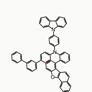 c1ccc(-c2cccc(-c3ccc(N(c4ccc(-n5c6ccccc6c6ccccc65)cc4)c4ccccc4-c4cccc5oc6c7ccccc7ccc6c45)cc3)c2)cc1